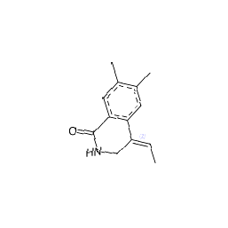 C/C=C1\CNC(=O)c2cc(C)c(C)cc21